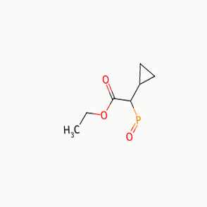 CCOC(=O)C(P=O)C1CC1